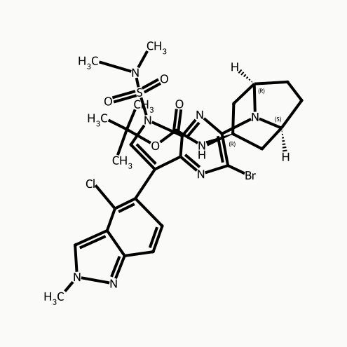 CN(C)S(=O)(=O)n1cc(-c2ccc3nn(C)cc3c2Cl)c2nc(Br)c(N3[C@@H]4CC[C@H]3C[C@@H](NC(=O)OC(C)(C)C)C4)nc21